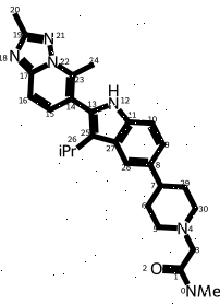 CNC(=O)CN1CCC(c2ccc3[nH]c(-c4ccc5nc(C)nn5c4C)c(C(C)C)c3c2)CC1